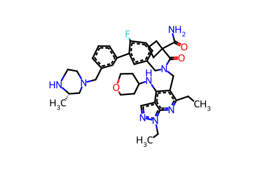 CCc1nc2c(cnn2CC)c(NC2CCOCC2)c1CN(Cc1ccc(F)c(-c2cccc(CN3CCN[C@@H](C)C3)c2)c1)C(=O)C1(C(N)=O)CCC1